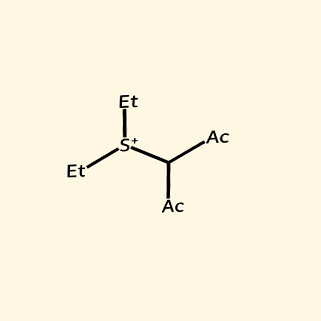 CC[S+](CC)C(C(C)=O)C(C)=O